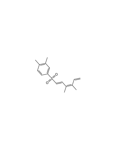 C=C/C(C)=C(C)\C=C\S(=O)(=O)c1ccc(C)c(C)c1